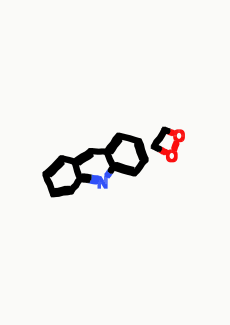 C1COO1.c1ccc2nc3ccccc3cc2c1